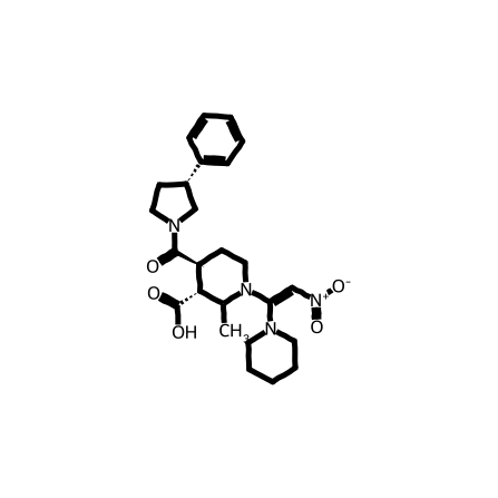 CC1[C@H](C(=O)O)[C@@H](C(=O)N2CC[C@H](c3ccccc3)C2)CCN1C(=C[N+](=O)[O-])N1CCCCC1